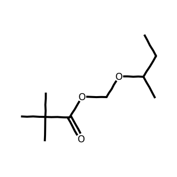 CCC(C)OCOC(=O)C(C)(C)C